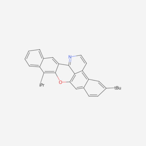 CC(C)c1c2c(cc3ccccc13)-c1nccc3c1c(cc1ccc(C(C)(C)C)cc13)O2